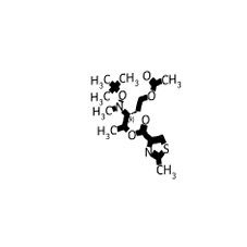 CC(=O)OCC[C@H](C(C)OC(=O)c1csc(C)n1)N(C)OC(C)(C)C